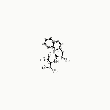 CC(C)[C@H](NC(=O)N(C)Cc1ccc2ccccc2n1)C(=O)O